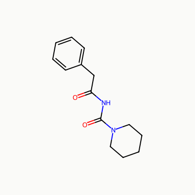 O=C(Cc1ccccc1)NC(=O)N1CCCCC1